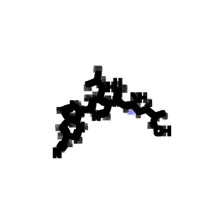 CC(CO)CC/C(N)=C/N(N)c1cnc(-n2ncc3cc(C#N)cnc32)cc1NC(C)C